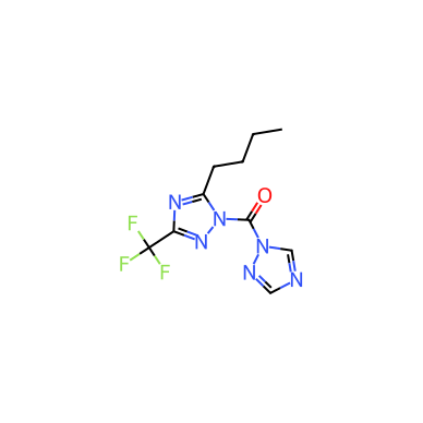 CCCCc1nc(C(F)(F)F)nn1C(=O)n1cncn1